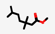 COC(=O)CC(C)(C)CCC(C)C